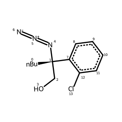 CCCC[C@@](CO)(N=[N+]=[N-])c1ccccc1Cl